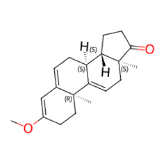 COC1=CC2=CC[C@@H]3C(=CC[C@]4(C)C(=O)CC[C@@H]34)[C@@]2(C)CC1